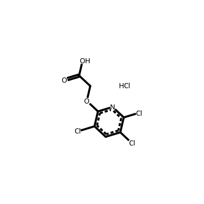 Cl.O=C(O)COc1nc(Cl)c(Cl)cc1Cl